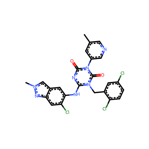 Cc1cncc(-n2c(=O)nc(Nc3cc4cn(C)nc4cc3Cl)n(Cc3cc(Cl)ccc3Cl)c2=O)c1